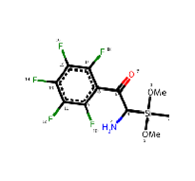 CO[Si](C)(OC)C(N)C(=O)c1c(F)c(F)c(F)c(F)c1F